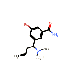 C=CC[C@@H](c1cc(Br)cc(C(N)=O)c1)N(C(=O)O)C(C)(C)C